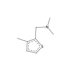 Cc1ccsc1CN(C)C